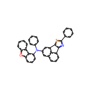 c1ccc(-c2nc3c(s2)-c2cc(N(c4ccccc4)c4cccc5oc6ccccc6c45)cc4cccc-3c24)cc1